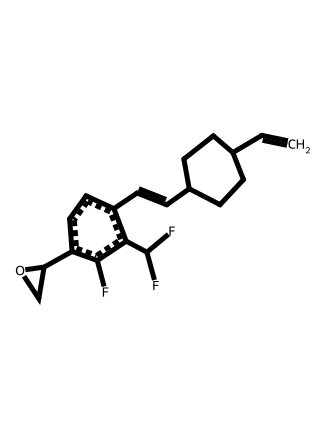 C=CC1CCC(/C=C/c2ccc(C3CO3)c(F)c2C(F)F)CC1